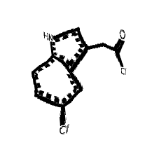 O=C(Cl)c1c[nH]c2ccc(Cl)cc12